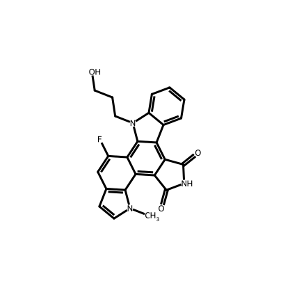 Cn1ccc2cc(F)c3c(c4c(c5c6ccccc6n(CCCO)c53)C(=O)NC4=O)c21